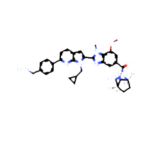 COc1cc(C(=O)N2C[C@H]3CC[C@@H]2[C@@H]3N)cc2nc(-c3cc4ccc(-c5ccc(CN)cc5)nc4n3CC3CC3)n(C)c12